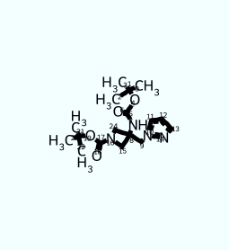 CC(C)(C)OC(=O)NC1(Cn2cccn2)CN(C(=O)OC(C)(C)C)C1